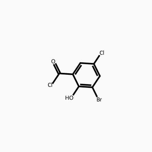 O=C(Cl)c1cc(Cl)cc(Br)c1O